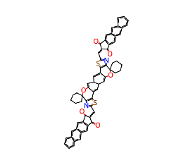 O=C1C(=Cc2nc3c(s2)C2=CC4C=C5OC6(CCCCC6)c6nc(C=C7C(=O)c8cc9cc%10ccccc%10cc9cc8C7=O)sc6C5=CC4C=C2OC32CCCCC2)C(=O)c2cc3cc4ccccc4cc3cc21